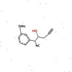 [C-]#[N+]C(c1cccc(OC)c1)C(O)CC#C